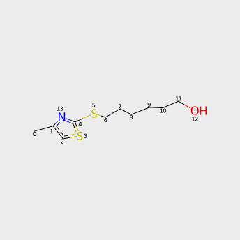 Cc1csc(SCCCCCCO)n1